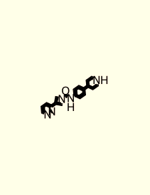 O=C(Nc1ccc(C2CCNCC2)cc1)N1CC(c2cccnn2)C1